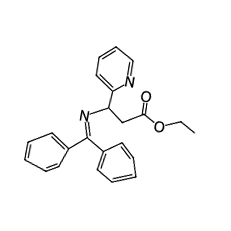 CCOC(=O)CC(N=C(c1ccccc1)c1ccccc1)c1ccccn1